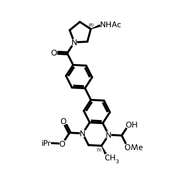 COC(O)N1c2ccc(-c3ccc(C(=O)N4CC[C@@H](NC(C)=O)C4)cc3)cc2N(C(=O)OC(C)C)C[C@@H]1C